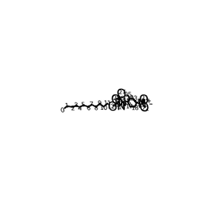 CCCCCCCCCCCCOc1nn(-c2ccc([N+](=O)[O-])cc2C)c(=O)o1